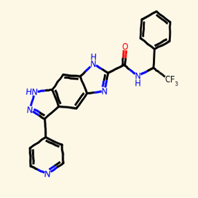 O=C(NC(c1ccccc1)C(F)(F)F)c1nc2cc3c(-c4ccncc4)n[nH]c3cc2[nH]1